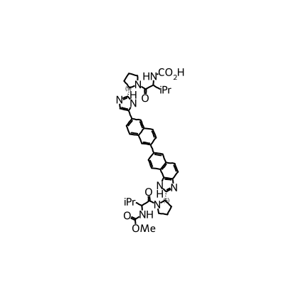 COC(=O)NC(C(=O)N1CCC[C@H]1c1nc2ccc3cc(-c4ccc5cc(-c6cnc([C@@H]7CCCN7C(=O)C(NC(=O)O)C(C)C)[nH]6)ccc5c4)ccc3c2[nH]1)C(C)C